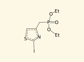 CCOP(=O)(Cc1csc(I)n1)OCC